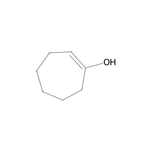 OC1=CCCCCC1